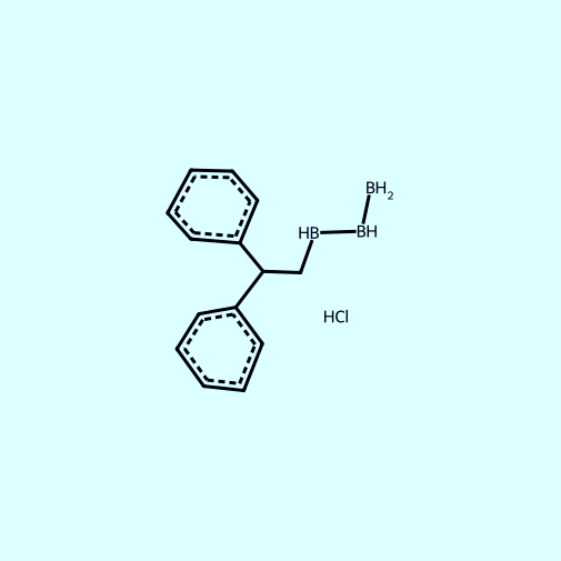 BBBCC(c1ccccc1)c1ccccc1.Cl